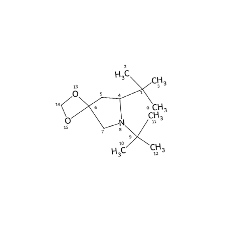 CC(C)(C)C1CC2(CN1C(C)(C)C)OCO2